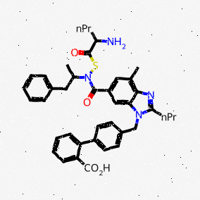 CCCc1nc2c(C)cc(C(=O)N(SC(=O)C(N)CCC)C(C)Cc3ccccc3)cc2n1Cc1ccc(-c2ccccc2C(=O)O)cc1